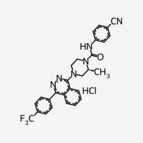 C[C@H]1CN(c2nnc(-c3ccc(C(F)(F)F)cc3)c3ccccc23)CCN1C(=O)Nc1ccc(C#N)cc1.Cl